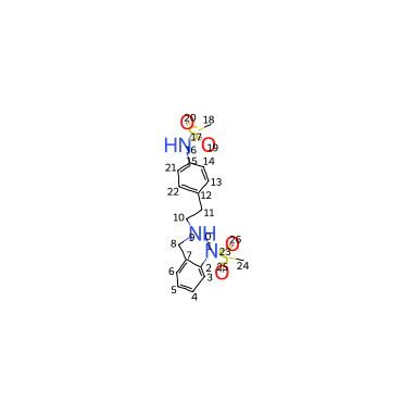 CN(c1ccccc1CNCCc1ccc(NS(C)(=O)=O)cc1)S(C)(=O)=O